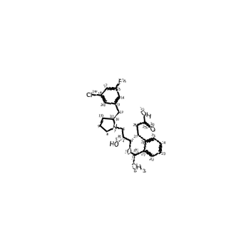 C[C@@H](OC[C@H](O)CN1CCC[C@H]1Cc1cc(F)cc(Cl)c1)c1ccccc1CCC(=O)O